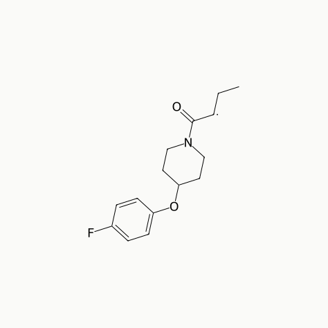 CC[CH]C(=O)N1CCC(Oc2ccc(F)cc2)CC1